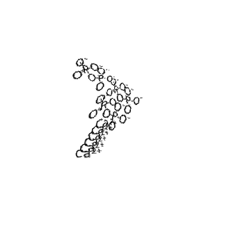 O=P([O-])([O-])OP(=O)([O-])[O-].O=P([O-])([O-])OP(=O)([O-])[O-].O=P([O-])([O-])OP(=O)([O-])[O-].[Ca+2].[Ca+2].[Ca+2].[Ca+2].[Ca+2].[Ca+2]